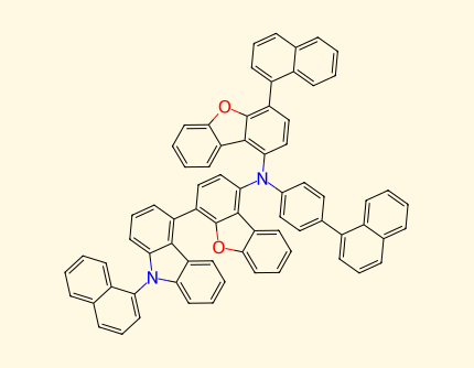 c1ccc2c(-c3ccc(N(c4ccc(-c5cccc6ccccc56)c5oc6ccccc6c45)c4ccc(-c5cccc6c5c5ccccc5n6-c5cccc6ccccc56)c5oc6ccccc6c45)cc3)cccc2c1